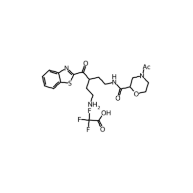 CC(=O)N1CCOC(C(=O)NCCC(CCN)C(=O)c2nc3ccccc3s2)C1.O=C(O)C(F)(F)F